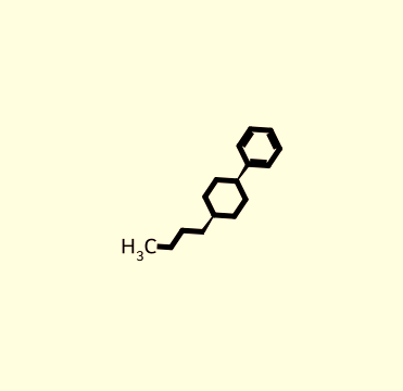 CCCC[C@H]1CC[C@@H](c2ccccc2)CC1